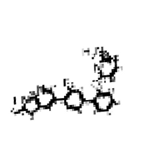 CC1Cc2cc(-c3ccc(-c4ccccc4Oc4ccnc(N)n4)cc3F)cnc2N1